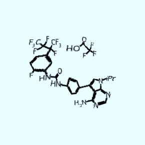 CC(C)n1cc(-c2ccc(NC(=O)Nc3cc(C(F)(C(F)(F)F)C(F)(F)C(F)(F)F)ccc3F)cc2)c2c(N)ncnc21.O=C(O)C(F)(F)F